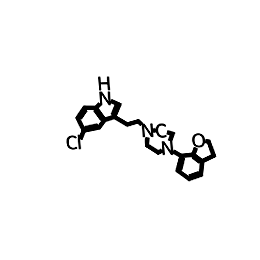 Clc1ccc2[nH]cc(CCN3CCN(c4cccc5c4OCC5)CC3)c2c1